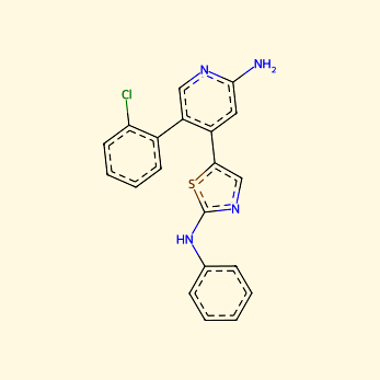 Nc1cc(-c2cnc(Nc3ccccc3)s2)c(-c2ccccc2Cl)cn1